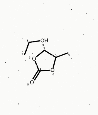 CC1COC(=O)O1.CCO